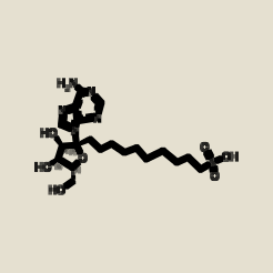 Nc1ncnc2c1ncn2[C@]1(CCCCCCCCCCS(=O)(=O)O)O[C@H](CO)[C@@H](O)[C@H]1O